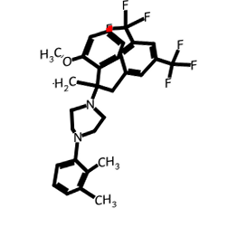 [CH2]C(Cc1cc(C(F)(F)F)cc(C(F)(F)F)c1)(c1ccccc1OC)N1CCN(c2cccc(C)c2C)CC1